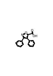 O=C(O)c1onc(-c2ccccc2)c1-c1ccccc1